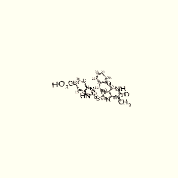 Cn1c(=O)[nH]c(=O)c2c1nc(Sc1nc3ccc(C(=O)O)cc3[nH]1)n2Cc1ccccc1